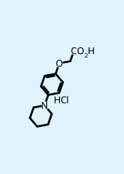 Cl.O=C(O)COc1ccc(N2CCCCC2)cc1